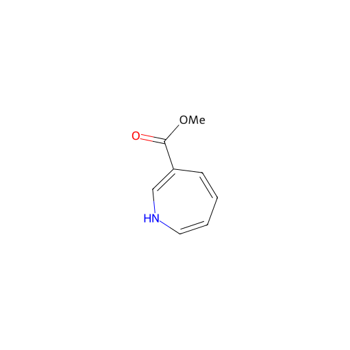 COC(=O)C1=CNC=CC=C1